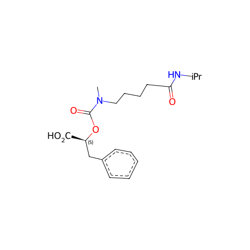 CC(C)NC(=O)CCCCN(C)C(=O)O[C@@H](Cc1ccccc1)C(=O)O